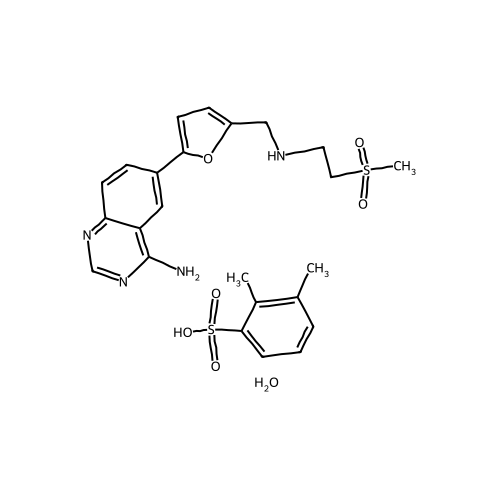 CS(=O)(=O)CCNCc1ccc(-c2ccc3ncnc(N)c3c2)o1.Cc1cccc(S(=O)(=O)O)c1C.O